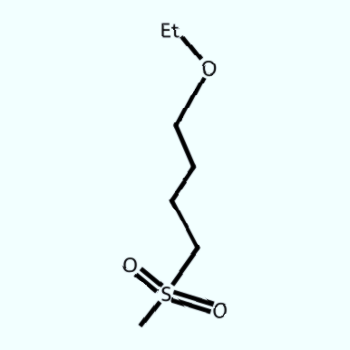 CCOCCCCS(C)(=O)=O